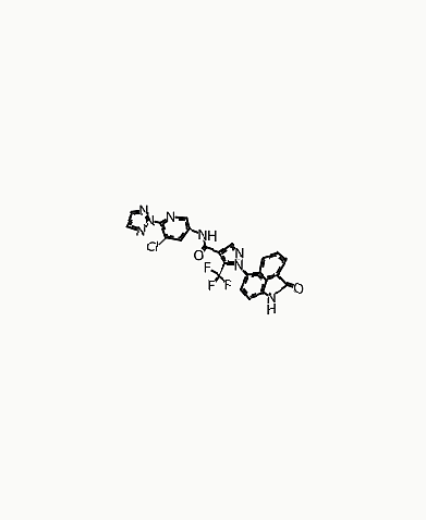 O=C(Nc1cnc(-n2nccn2)c(Cl)c1)c1cnn(-c2ccc3c4c(cccc24)C(=O)N3)c1C(F)(F)F